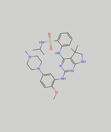 COc1ccc(N2CCN(C)CC2)cc1Nc1nc2c(c(Nc3ccccc3S(=O)(=O)NC(C)C)n1)C(C)(C)CN2